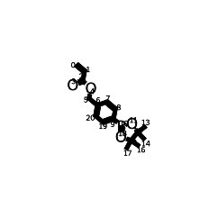 C=CC(=O)OCc1ccc(B2OC(C)(C)C(C)(C)O2)cc1